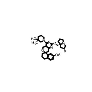 C[C@@]1(O)CCCN(c2nc(OC[C@@]34CCCN3C[C@H](F)C4)nc3c2COC2(CCCc4ccc(O)cc42)C3)C1